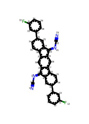 N#C/N=c1\c2cc(-c3cccc(F)c3)ccc2c2cc3/c(=N/C#N)c4cc(-c5cccc(F)c5)ccc4c3cc12